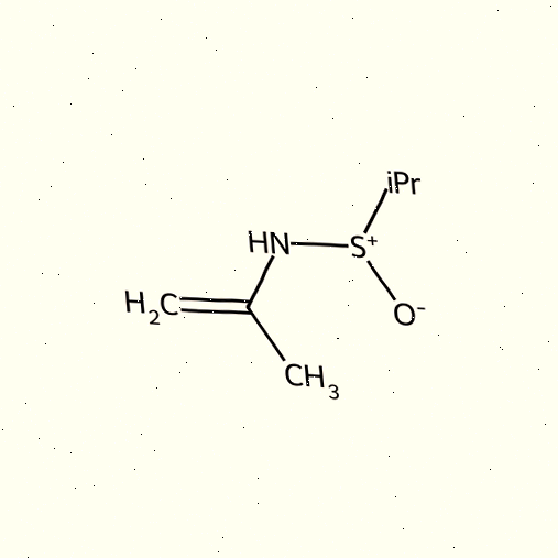 C=C(C)N[S+]([O-])C(C)C